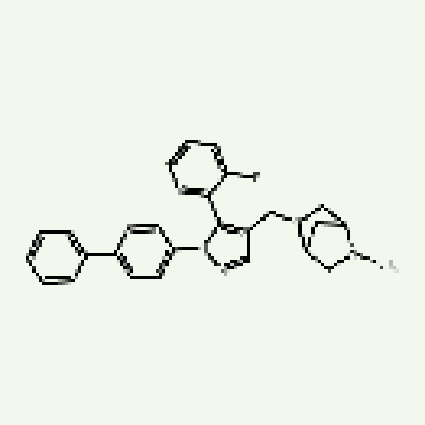 CN1CC2CC1CN2Cc1cnn(-c2ccc(-c3ccccc3)cc2)c1-c1ccccc1F